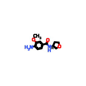 COc1cc(C(=O)N[C@H]2CCOC2)ccc1N